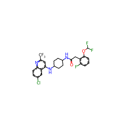 O=C(Cc1c(F)cccc1OC(F)F)NC1CCC(Nc2cc(C(F)(F)F)nc3ccc(Cl)cc23)CC1